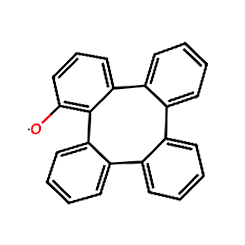 [O]c1cccc2c1-c1ccccc1-c1ccccc1-c1ccccc1-2